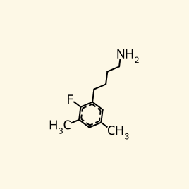 Cc1cc(C)c(F)c(CCCCN)c1